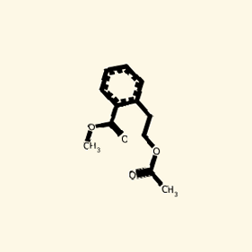 COC(=O)c1ccccc1[CH]COC(C)=O